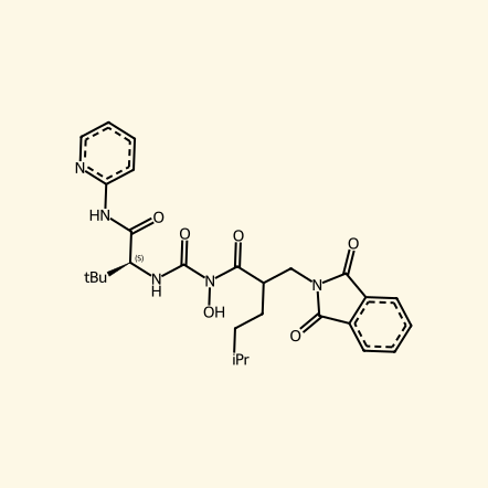 CC(C)CCC(CN1C(=O)c2ccccc2C1=O)C(=O)N(O)C(=O)N[C@H](C(=O)Nc1ccccn1)C(C)(C)C